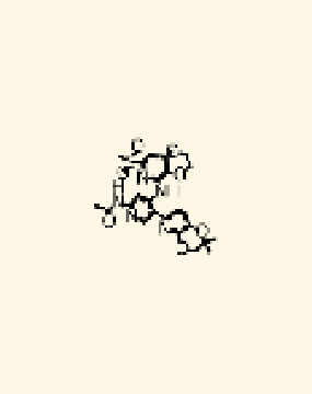 CC(=O)Nc1cc(Nc2nc(S(C)(=O)=O)cc3c2OCCO3)c(-c2ccc3c(n2)OCC(C)(C)O3)cn1